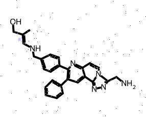 C/C(=C\NCc1ccc(-c2nc3ccn4c(CN)nnc4c3cc2-c2ccccc2)cc1)CO